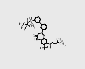 CC(C)CCNc1cc2c(cc1C(F)(F)F)NC(=O)CC(c1cccc(-c3cccc(S(=O)(=O)NC(C)(C)C)c3)c1)=N2